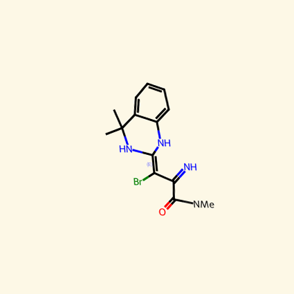 CNC(=O)C(=N)/C(Br)=C1\Nc2ccccc2C(C)(C)N1